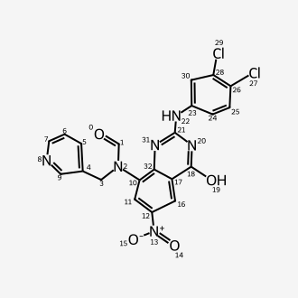 O=CN(Cc1cccnc1)c1cc([N+](=O)[O-])cc2c(O)nc(Nc3ccc(Cl)c(Cl)c3)nc12